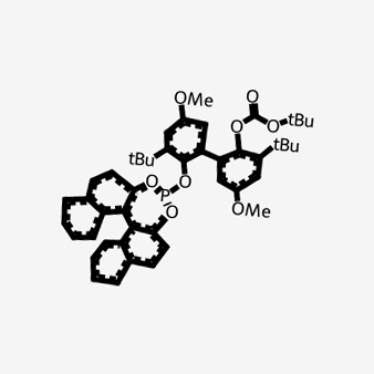 COc1cc(-c2cc(OC)cc(C(C)(C)C)c2Op2oc3ccc4ccccc4c3c3c(ccc4ccccc43)o2)c(OC(=O)OC(C)(C)C)c(C(C)(C)C)c1